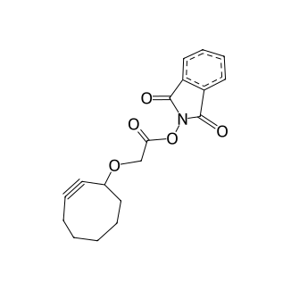 O=C(COC1C#CCCCCC1)ON1C(=O)c2ccccc2C1=O